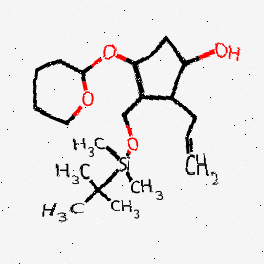 C=CCC1C(O)CC(OC2CCCCO2)C1CO[Si](C)(C)C(C)(C)C